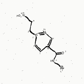 CC(C)NC(=O)c1cc[n+](CCS(=O)(=O)O)nc1